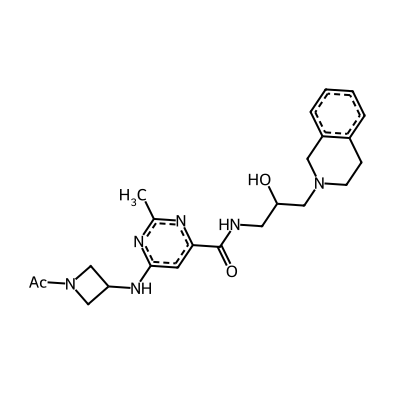 CC(=O)N1CC(Nc2cc(C(=O)NCC(O)CN3CCc4ccccc4C3)nc(C)n2)C1